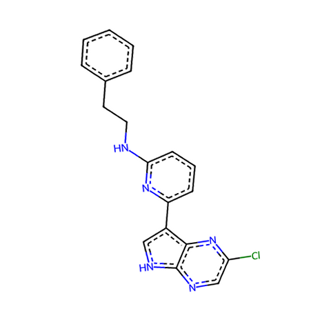 Clc1cnc2[nH]cc(-c3cccc(NCCc4ccccc4)n3)c2n1